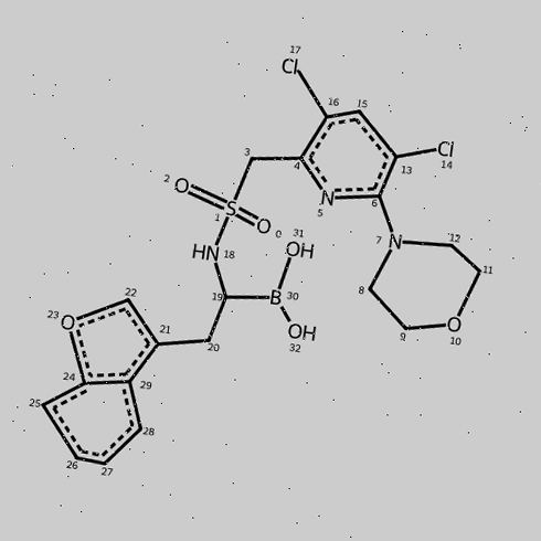 O=S(=O)(Cc1nc(N2CCOCC2)c(Cl)cc1Cl)NC(Cc1coc2ccccc12)B(O)O